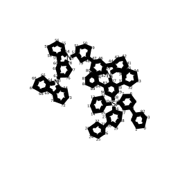 c1ccc(-c2cccc([Si](c3ccccc3)(c3cccc(-c4ccccc4)c3)c3cc(-c4ccccc4)c(-n4c5ccccc5c5cc(-c6cccc(-n7c8ccccc8c8cc(-n9c%10ccccc%10c%10ccccc%109)ccc87)c6)ccc54)c(-c4ccccc4)c3)c2)cc1